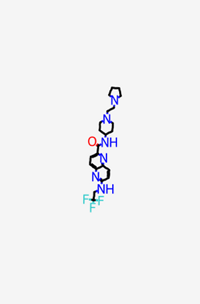 O=C(NC1CCN(CCN2CCCC2)CC1)c1ccc2nc(NCC(F)(F)F)ccc2n1